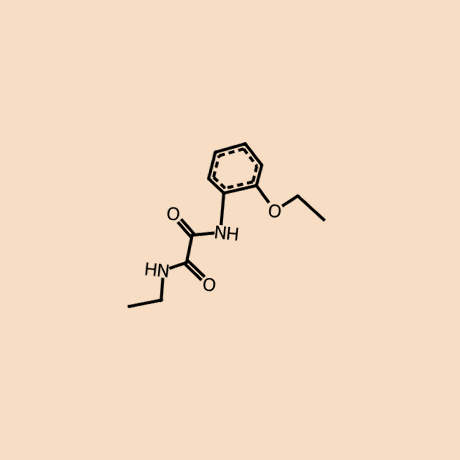 CCNC(=O)C(=O)Nc1ccccc1OCC